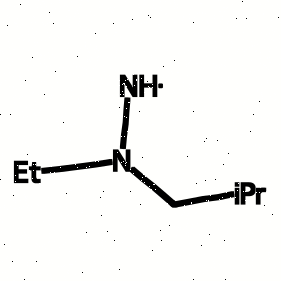 CCN([NH])CC(C)C